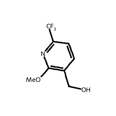 COc1nc(C(F)(F)F)ccc1CO